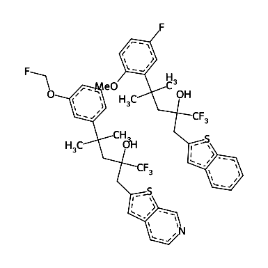 CC(C)(CC(O)(Cc1cc2ccncc2s1)C(F)(F)F)c1cccc(OCF)c1.COc1ccc(F)cc1C(C)(C)CC(O)(Cc1cc2ccccc2s1)C(F)(F)F